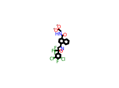 COC(CNC(=O)c1ccc(C2=NOC(c3cc(Cl)c(F)c(Cl)c3)(C(F)(F)F)C2)c2ccccc12)OC